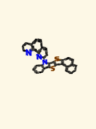 c1ccc2c(c1)ccc1sc3c(sc4c5ccccc5n(-c5ccc6ccc7cccnc7c6n5)c43)c12